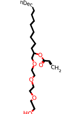 C=CC(=O)OC(CCCCCCCCCCCCCCCCCC)COCCOCCOCCO